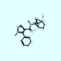 CN(C(=O)c1cnn(C)c1C1=CCCC=C1)[C@H]1C[C@H]2CC[C@]1(C)C2(C)C